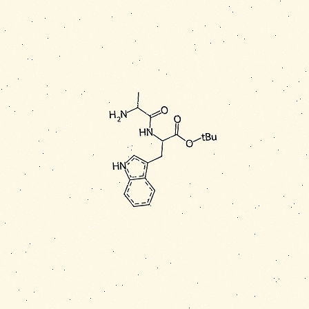 CC(N)C(=O)NC(Cc1c[nH]c2ccccc12)C(=O)OC(C)(C)C